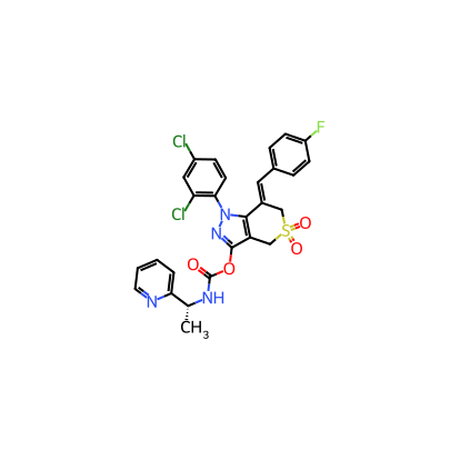 C[C@@H](NC(=O)Oc1nn(-c2ccc(Cl)cc2Cl)c2c1CS(=O)(=O)C/C2=C\c1ccc(F)cc1)c1ccccn1